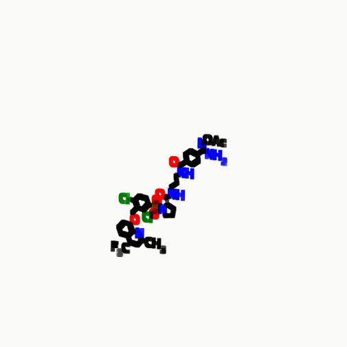 CC(=O)O/N=C(\N)c1ccc(C(=O)NCCCNC(=O)[C@@H]2CCCN2S(=O)(=O)c2ccc(Cl)c(COc3cccc4c(C(F)(F)F)cc(C)nc34)c2Cl)cc1